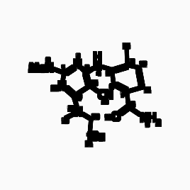 CNc1nc(Nc2cc(C(N)=O)ccc2C)c(C#N)c(N(C)CC(C)(C)C)n1